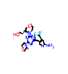 C[C@@H]1COCCN1c1nc(-c2cnc(N)cc2C(F)F)nc(N2CCOC[C@H]2CCO)n1